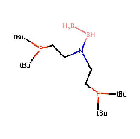 BBN(CCP(C(C)(C)C)C(C)(C)C)CCP(C(C)(C)C)C(C)(C)C